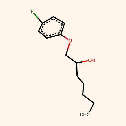 O=CCCCCC(O)COc1ccc(F)cc1